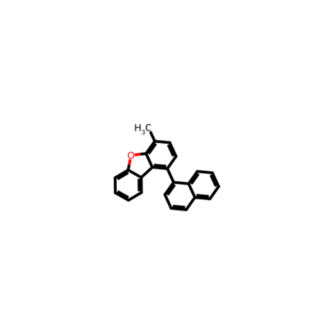 Cc1ccc(-c2cccc3ccccc23)c2c1oc1ccccc12